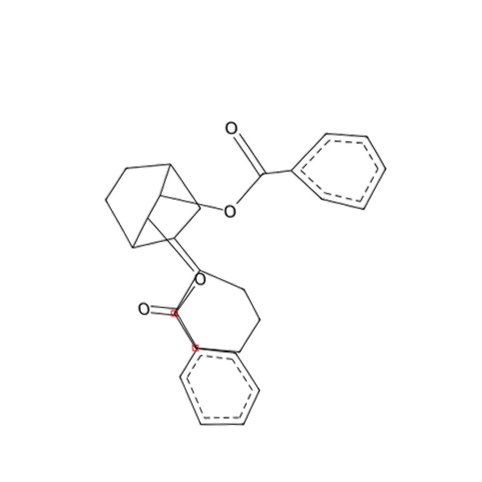 O=C(OC1C2CCC(C(C3CCCCC3)C2)C1OC(=O)c1ccccc1)c1ccccc1